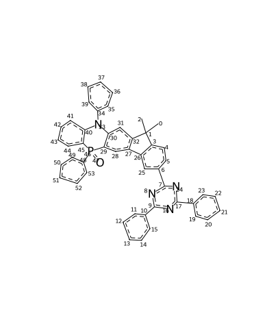 CC1(C)c2ccc(-c3nc(-c4ccccc4)nc(-c4ccccc4)n3)cc2-c2cc3c(cc21)N(c1ccccc1)c1ccccc1P3(=O)c1ccccc1